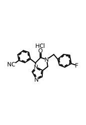 Cl.N#Cc1cccc(C2C(=O)N(Cc3ccc(F)cc3)Cc3cncn32)c1